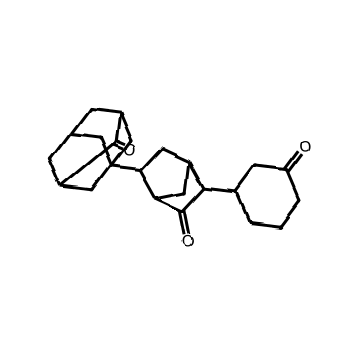 O=C1CCCC(C2C(=O)C3CC2CC3C23CC4CC(C2)C(=O)C(C4)C3)C1